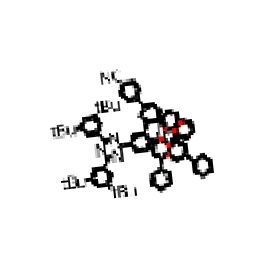 CC(C)(C)c1cc(-c2nc(-c3cc(C(C)(C)C)cc(C(C)(C)C)c3)nc(-c3ccc(-n4c5ccccc5c5cc(-c6ccccc6)ccc54)c(-c4cc(-c5ccc(C#N)cc5)ccc4-n4c5ccccc5c5cc(-c6ccccc6)ccc54)c3)n2)cc(C(C)(C)C)c1